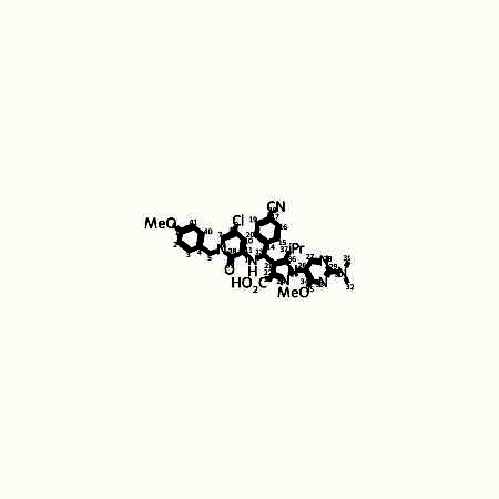 COc1ccc(Cn2cc(Cl)cc(NC(c3ccc(C#N)cc3)c3c(C(=O)O)nn(-c4cnc(N(C)C)nc4OC)c3C(C)C)c2=O)cc1